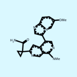 CNc1ncc(-c2cnc3ccc(OC)cn23)c2cc(C3(C(N)=O)CC3)ncc12